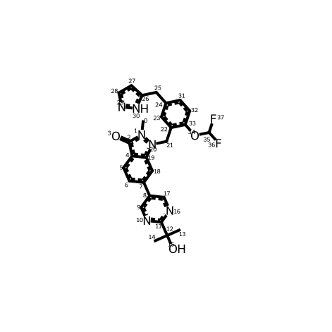 Cn1c(=O)c2ccc(-c3cnc(C(C)(C)O)nc3)cc2n1Cc1cc(Cc2ccn[nH]2)ccc1OC(F)F